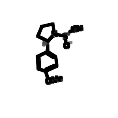 COc1ccc([C@H]2CCCN2[S+]([O-])C(C)(C)C)cc1